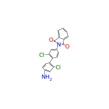 Nc1ccc(-c2ccc(N3C(=O)c4ccccc4C3=O)cc2Cl)c(Cl)c1